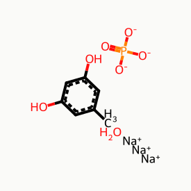 Cc1cc(O)cc(O)c1.O.O=P([O-])([O-])[O-].[Na+].[Na+].[Na+]